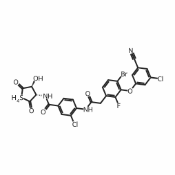 N#Cc1cc(Cl)cc(Oc2c(Br)ccc(CC(=O)Nc3ccc(C(=O)N[C@@H]4C(=O)[SH4]C(=O)[C@H]4O)cc3Cl)c2F)c1